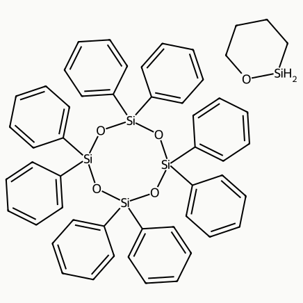 C1CC[SiH2]OC1.c1ccc([Si]2(c3ccccc3)O[Si](c3ccccc3)(c3ccccc3)O[Si](c3ccccc3)(c3ccccc3)O[Si](c3ccccc3)(c3ccccc3)O2)cc1